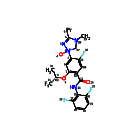 CC(C)C1=N[N+]([O-])(c2cc(O[C@@H](C)C(F)(F)F)c(C(=O)Nc3c(F)cccc3F)cc2F)CN1C